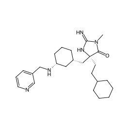 CN1C(=N)N[C@](CCC2CCCCC2)(C[C@H]2CCC[C@@H](NCc3cccnc3)C2)C1=O